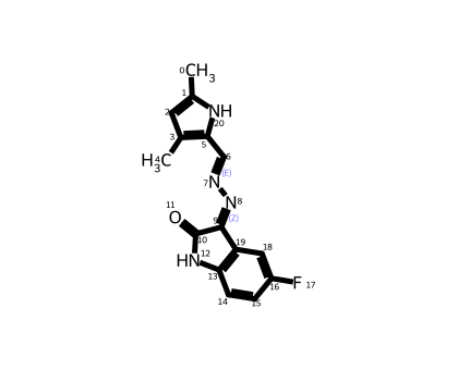 Cc1cc(C)c(/C=N/N=C2\C(=O)Nc3ccc(F)cc32)[nH]1